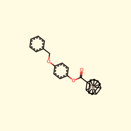 O=C(Oc1ccc(OCc2ccccc2)cc1)[C]12[CH]3[CH]4[CH]5[CH]1[Fe]45321678[CH]2[CH]1[CH]6[CH]7[CH]28